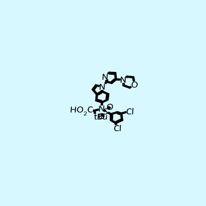 CC(C)(C)C(C(=O)O)N(c1ccc2c(ccn2-c2cc(N3CCOCC3)ccn2)c1)S(=O)(=O)c1cc(Cl)cc(Cl)c1